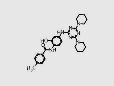 Cc1ccc(C(=O)Nc2ccc(Nc3nc(N4CCCCC4)nc(N4CCCCC4)n3)cc2O)cc1